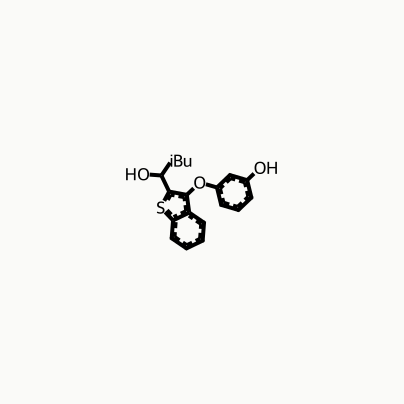 CCC(C)C(O)c1sc2ccccc2c1Oc1cccc(O)c1